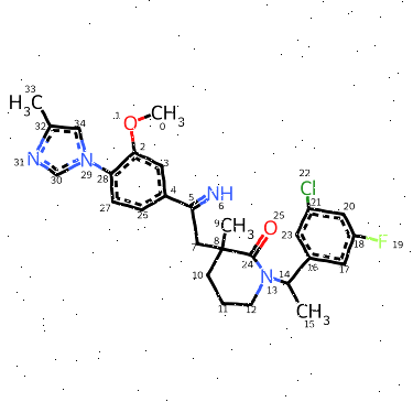 COc1cc(C(=N)CC2(C)CCCN(C(C)c3cc(F)cc(Cl)c3)C2=O)ccc1-n1cnc(C)c1